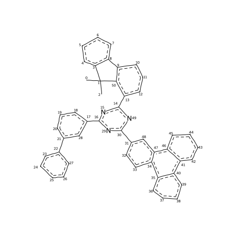 CC1(C)c2ccccc2-c2cccc(-c3nc(-c4cccc(-c5ccccc5)c4)nc(-c4ccc5c6ccccc6c6ccccc6c5c4)n3)c21